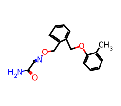 Cc1ccccc1OCc1ccccc1CON=CC(N)=O